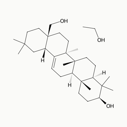 CC1(C)CC[C@]2(CO)CC[C@]3(C)C(=CC[C@@H]4[C@@]5(C)CC[C@H](O)C(C)(C)[C@@H]5CC[C@]43C)[C@@H]2C1.CCO